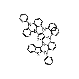 c1ccc(N2c3ccccc3B3c4sc5c(c4N(c4ccccc4)c4cccc2c43)N(c2ccccc2)c2cccc3c2B5c2c(sc4ccccc24)N3c2ccccc2)cc1